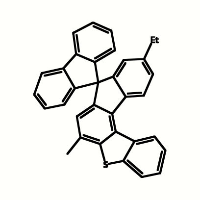 CCc1ccc2c(c1)C1(c3ccccc3-c3ccccc31)c1cc(C)c3sc4ccccc4c3c1-2